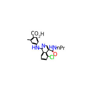 CCCNC(=O)c1cnc(Nc2ccc(C(=O)O)c(C)c2)c2cccc(Cl)c12